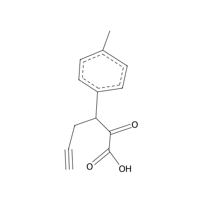 C#CCC(C(=O)C(=O)O)c1ccc(C)cc1